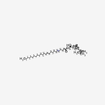 CCCCCCCCCCCCCCCCCCCC/C=C/CCCC(=O)OC[C@@H](O)COP(=O)([O-])OCC[N+](C)(C)C